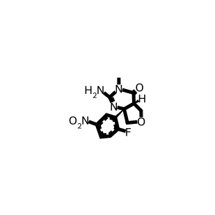 CN1C(=O)[C@@H]2COC[C@]2(c2cc([N+](=O)[O-])ccc2F)N=C1N